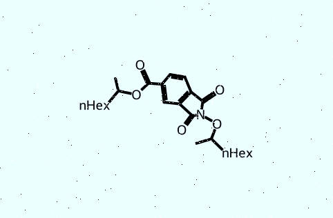 CCCCCCC(C)OC(=O)c1ccc2c(c1)C(=O)N(OC(C)CCCCCC)C2=O